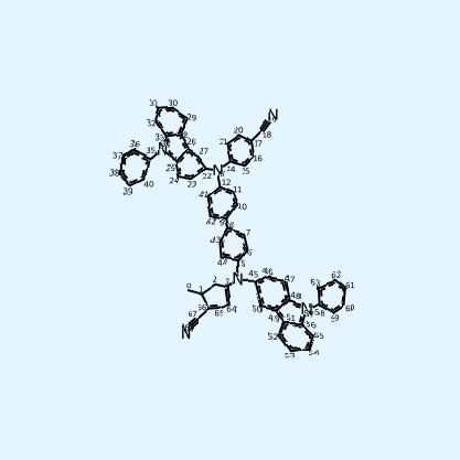 CC1CC(N(c2ccc(-c3ccc(N(c4ccc(C#N)cc4)c4ccc5c(c4)c4ccccc4n5-c4ccccc4)cc3)cc2)c2ccc3c(c2)c2ccccc2n3-c2ccccc2)=CC=C1C#N